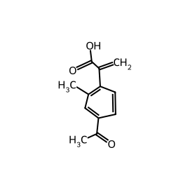 C=C(C(=O)O)c1ccc(C(C)=O)cc1C